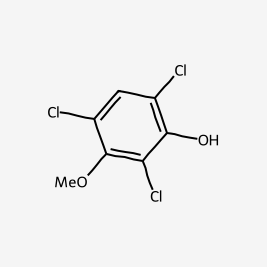 COc1c(Cl)cc(Cl)c(O)c1Cl